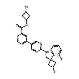 CC(=O)N1CC(NC(=O)c2cccc(-c3cnc(NC[C@]4(c5ncccc5F)C[C@H](F)C4)nc3)c2)C1